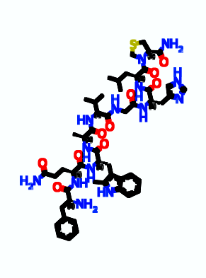 Cc1[nH]c2ccccc2c1C[C@H](NC(=O)[C@H](CCC(N)=O)NC(=O)[C@H](N)Cc1ccccc1)C(=O)N[C@@H](C)C(=O)N[C@H](C(=O)NCC(=O)N[C@@H](Cc1c[nH]cn1)C(=O)N[C@@H](CC(C)C)C(=O)N1CSC[C@H]1C(N)=O)C(C)C